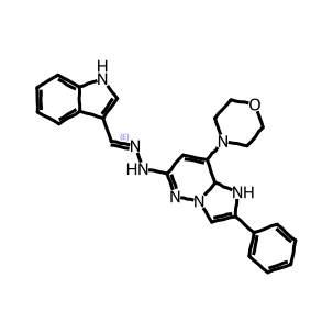 C1=C(c2ccccc2)NC2C(N3CCOCC3)=CC(N/N=C/c3c[nH]c4ccccc34)=NN12